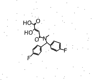 CN(C(=O)C=C(O)C(=O)O)C(c1ccc(F)cc1)c1ccc(F)cc1